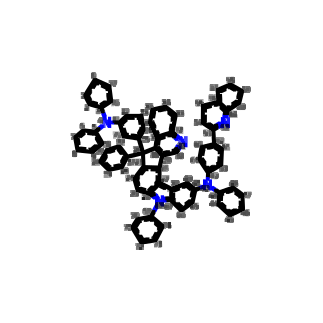 c1ccc(N(c2ccccc2)c2cccc(C3(c4ccccc4)c4ccc5c(c4-c4cnc6ccccc6c43)c3cc(N(c4ccccc4)c4ccc(-c6ccc7ccccc7n6)cc4)ccc3n5-c3ccccc3)c2)cc1